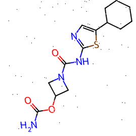 NC(=O)OC1CN(C(=O)Nc2ncc(C3CCCCC3)s2)C1